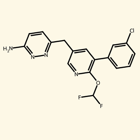 Nc1ccc(Cc2cnc(OC(F)F)c(-c3cccc(Cl)c3)c2)nn1